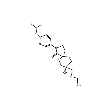 C[C@@H](Oc1ccc(N2CC[C@]3(CC[C@@](O)(COCC(F)(F)F)CC3)C2=O)cn1)C(F)(F)F